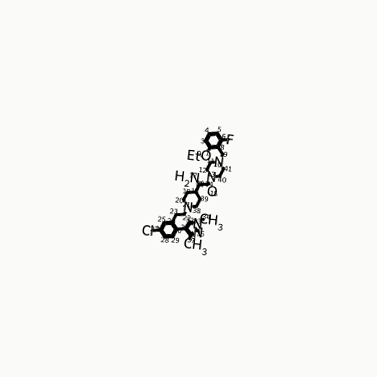 CCOc1cccc(F)c1CN1CCN(C(=O)[C@H](N)C2CCN(CCc3cc(Cl)ccc3-c3cn(C)nc3C)CC2)CC1